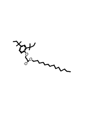 CCCCCCCCCCCCCCOC([O])COc1ccc(C(C)(C)CC)cc1C(C)(C)CC